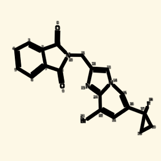 O=C1c2ccccc2C(=O)N1Cc1cn2cc(C3(F)CC3)cc(Br)c2n1